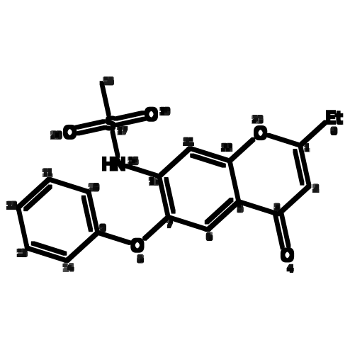 CCc1cc(=O)c2cc(Oc3ccccc3)c(NS(C)(=O)=O)cc2o1